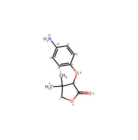 CC1(C)COC(=O)C1Oc1ccc(N)cc1